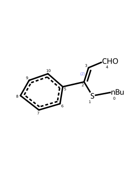 CCCCS/C(=C\C=O)c1ccccc1